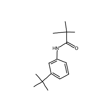 CC(C)(C)C(=O)Nc1cccc(C(C)(C)C)c1